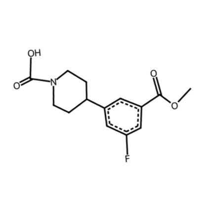 COC(=O)c1cc(F)cc(C2CCN(C(=O)O)CC2)c1